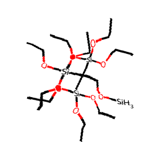 CCO[Si](OCC)(OCC)C(CO[SiH3])([Si](OCC)(OCC)OCC)[Si](OCC)(OCC)OCC